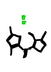 [CH2]=[Zr+2]([C]1=C(C)C=C(C)C1)[C]1=C(C)C(C)=CC1.[Cl-].[Cl-]